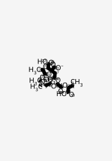 CCC(OC(=O)C(OCC[N+](C)(C)C)OC(=O)CC(CC(=O)O)(OC(=O)C(C)=O)C(=O)[O-])C(=O)O